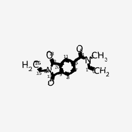 C=CN(C)C(=O)c1ccc2c(c1)C(=O)N(C=C)C2=O